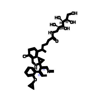 C=N/C=C(\C(=C/C)c1ccccc1OC1CC1)C1(NCc2cc(C(C)CCCC(=O)NC[C@H](O)[C@@H](O)[C@H](O)[C@H](O)CO)ccc2Cl)CC1